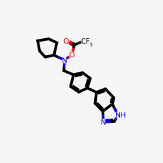 O=C(ON(Cc1ccc(-c2ccc3[nH]cnc3c2)cc1)C1CCCCC1)C(F)(F)F